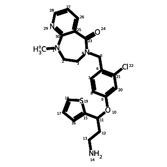 CN1CCN(Cc2ccc(OC(CCN)c3cccs3)cc2Cl)C(=O)c2cccnc21